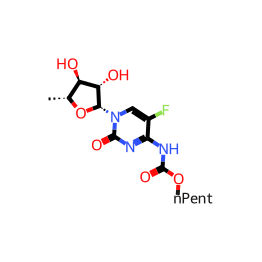 CCCCCOC(=O)Nc1nc(=O)n([C@@H]2O[C@H](C)[C@@H](O)[C@@H]2O)cc1F